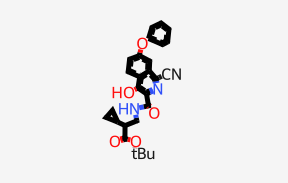 CC(C)(C)OC(=O)C(CNC(=O)c1nc(C#N)c2cc(Oc3ccccc3)ccc2c1O)C1CC1